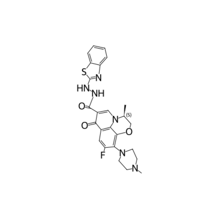 C[C@H]1COc2c(N3CCN(C)CC3)c(F)cc3c(=O)c(C(=O)NNc4nc5ccccc5s4)cn1c23